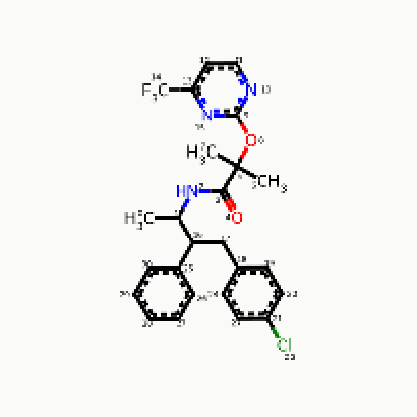 CC(NC(=O)C(C)(C)Oc1nccc(C(F)(F)F)n1)C(Cc1ccc(Cl)cc1)c1ccccc1